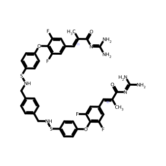 C/C(=C\c1cc(F)c(Oc2ccc(SNCc3ccc(CNSc4ccc(Oc5c(F)cc(/C=C(\C)C(=O)N=C(N)N)cc5F)cc4)cc3)cc2)c(F)c1)C(=O)N=C(N)N